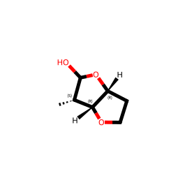 C[C@@H]1C(O)O[C@@H]2CCO[C@H]12